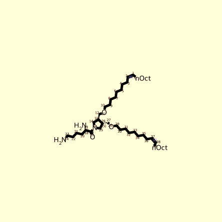 CCCCCCCC/C=C\CCCCCCCCOC[C@@H]1CN(C(=O)[C@@H](N)CCCCN)C[C@H]1COCCCCCCCC/C=C\CCCCCCCC